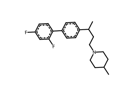 CC1CCN(CCC(C)c2ccc(-c3ccc(F)cc3F)cc2)CC1